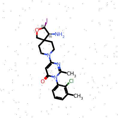 Cc1cccc(-n2c(C)nc(N3CCC4(CC3)CO[C@@H](I)[C@H]4N)cc2=O)c1Cl